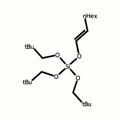 CCCCCCC=CO[Si](OCC(C)(C)C)(OCC(C)(C)C)OCC(C)(C)C